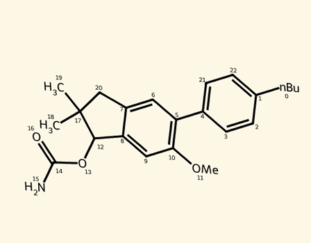 CCCCc1ccc(-c2cc3c(cc2OC)C(OC(N)=O)C(C)(C)C3)cc1